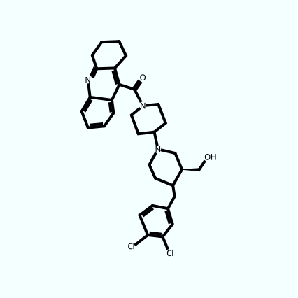 O=C(c1c2c(nc3ccccc13)CCCC2)N1CCC(N2CCC(Cc3ccc(Cl)c(Cl)c3)[C@H](CO)C2)CC1